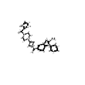 Cc1nc2cc(C(=O)N3CC(N4CCN(C(=O)c5nccs5)CC4)C3)ccc2n1-c1ccccc1